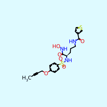 CC#CCOc1ccc(S(=O)(=O)N[C@H](CCCNC(=O)c2ccsc2)C(=O)NO)cc1